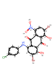 O=C1c2c(Nc3ccc(Cl)cc3)cc(Br)c(O)c2C(=O)c2c(O)c(Br)cc([N+](=O)[O-])c21